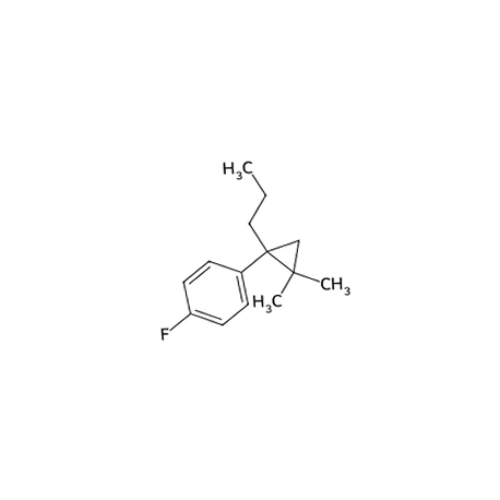 CCCC1(c2ccc(F)cc2)CC1(C)C